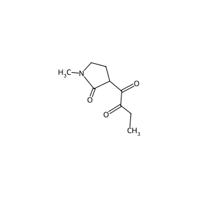 CCC(=O)C(=O)C1CCN(C)C1=O